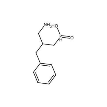 NCC(Cc1ccccc1)C[PH](=O)O